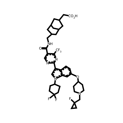 O=C(O)CC1CC2CC(CNC(=O)c3cnc(-c4cn(C5CCC(F)(F)CC5)c5cc(OC6CCN(CC7(F)CC7)CC6)ccc45)nc3C(F)(F)F)CC(C1)C2